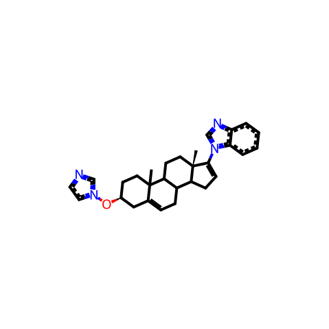 CC12CC[C@H](On3ccnc3)CC1=CCC1C2CC[C@]2(C)C(n3cnc4ccccc43)=CCC12